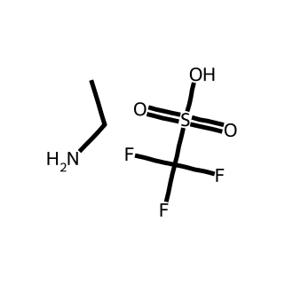 CCN.O=S(=O)(O)C(F)(F)F